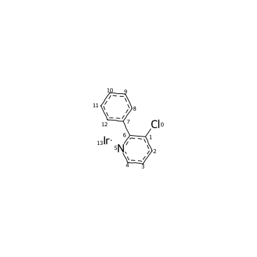 Clc1cccnc1-c1ccccc1.[Ir]